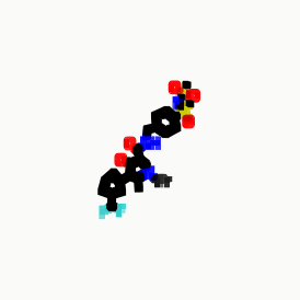 Cc1c(-c2cccc(C(F)F)c2)c(=O)c(C(=O)NCc2ccc(S(C)(=O)=NS(C)(=O)=O)cc2)cn1C(C)C